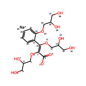 O=C([O-])C(OCC(O)CO)=C(OCC(O)CO)c1ccccc1OCC(O)CO.[Na+]